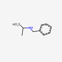 CC(NCc1ccccc1)S(=O)(=O)O